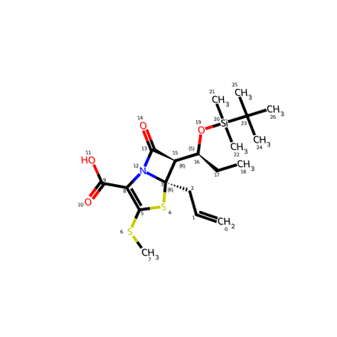 C=CC[C@]12SC(SC)=C(C(=O)O)N1C(=O)[C@H]2[C@H](CC)O[Si](C)(C)C(C)(C)C